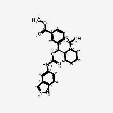 COC(=O)c1cccc(C(OC(=O)Nc2ccc3[nH]ncc3c2)[C@@H]2CCCCN2C(=O)O)c1